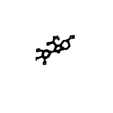 N#CB1CCn2nc(-c3cc(Cl)c(F)c(Cl)c3)c(C(N)=O)c2C1